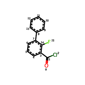 O=C(Cl)c1cccc(-c2ccccc2)c1F